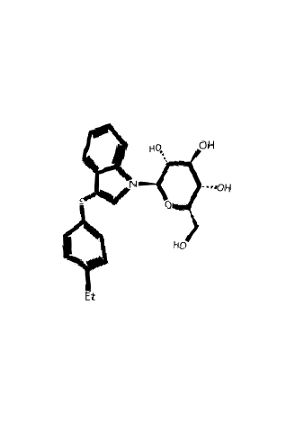 CCc1ccc(Sc2cn([C@@H]3O[C@H](CO)[C@@H](O)[C@H](O)[C@H]3O)c3ccccc23)cc1